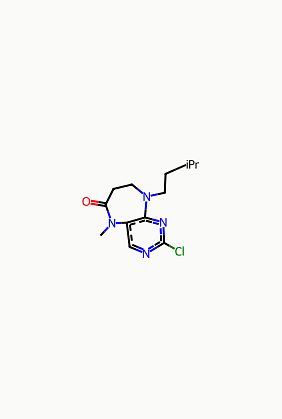 CC(C)CCN1CCC(=O)N(C)c2cnc(Cl)nc21